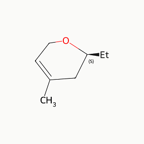 CC[C@H]1CC(C)=CCO1